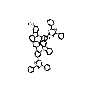 CC(C)(C)c1ccc2c(c1)c1ccccc1n2-c1cc(-c2nc(-c3ccccc3)nc(-c3ccccc3)n2)ccc1-c1cccc(-c2ccc(-c3nc(-c4ccccc4)nc(-c4ccccc4)n3)cc2-n2c3ccccc3c3cc(C(C)(C)C)ccc32)c1